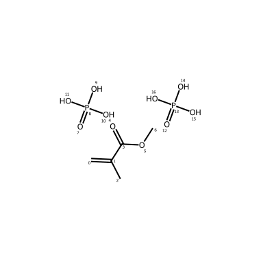 C=C(C)C(=O)OC.O=P(O)(O)O.O=P(O)(O)O